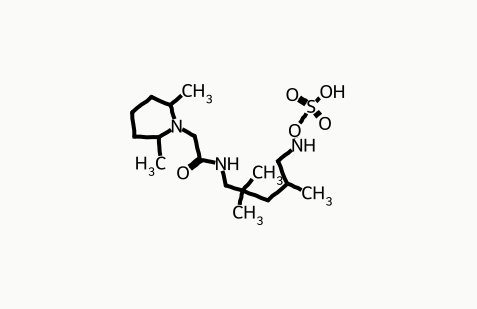 CC(CNOS(=O)(=O)O)CC(C)(C)CNC(=O)CN1C(C)CCCC1C